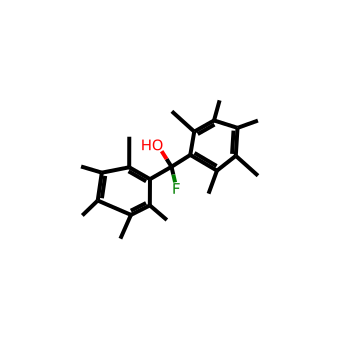 Cc1c(C)c(C)c(C(O)(F)c2c(C)c(C)c(C)c(C)c2C)c(C)c1C